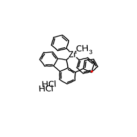 Cl.Cl.[CH3][Zr]([c]1ccccc1)([c]1ccccc1)[CH]1c2ccccc2-c2cccc(C3=CC=CC3)c21